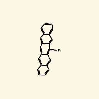 CCCc1c2cc3ccccc3cc2cc2cc3ccccc3cc12